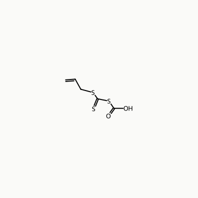 C=CCSC(=S)SC(=O)O